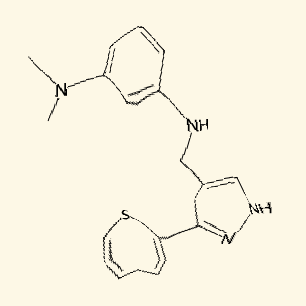 CN(C)c1cccc(NCc2c[nH]nc2-c2cccs2)c1